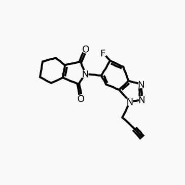 C#CCn1nnc2cc(F)c(N3C(=O)C4=C(CCCC4)C3=O)cc21